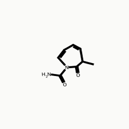 CC1C=CC=CN(C(N)=O)C1=O